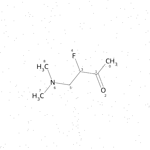 CC(=O)C(F)CN(C)C